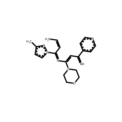 Cc1ccn(C(/C=C\N)=N/C(=C/C(=N)c2ccncc2)N2CCOCC2)n1